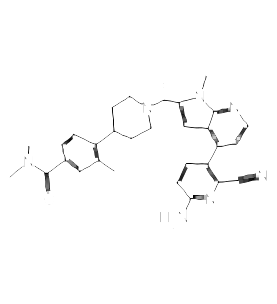 Cc1cc(C(=O)N(C)C)ccc1C1CCN([C@H](C)c2cc3c(-c4ccc(N)nc4C#N)ccnc3n2C)CC1